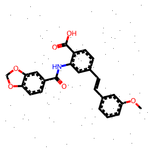 COc1cccc(C=Cc2ccc(C(=O)O)c(NC(=O)c3ccc4c(c3)OCO4)c2)c1